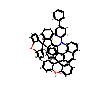 c1ccc(-c2ccc(N(c3cccc4c3-c3ccccc3C43c4ccccc4Oc4ccccc43)c3cccc4ccc5c(c34)-c3ccccc3C53c4ccccc4Oc4ccccc43)cc2)cc1